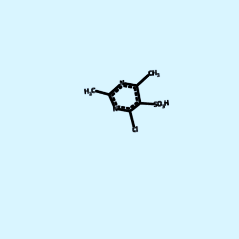 Cc1nc(C)c(S(=O)(=O)O)c(Cl)n1